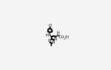 CCOC(=O)Nc1cc(Nc2ccc(Cl)cc2)c2ncc(C)nc2n1